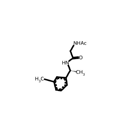 CC(=O)NCC(=O)N[C@H](C)c1cccc(C)c1